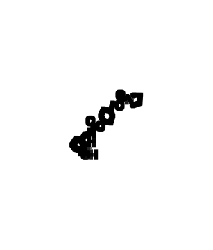 O=C(NCc1ccc[n+](O)c1)OC1CCC(COC(=O)N2CCCC2)CC1